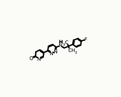 CC(C)(CNc1ccc(C2=CCC(=O)N=C2)nn1)c1ccc(F)cc1